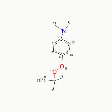 CCCC(C)(C)OOc1ccc(N(C)C)cc1